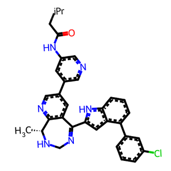 CC(C)CC(=O)Nc1cncc(-c2cnc3c(c2)C(c2cc4c(-c5cccc(Cl)c5)cccc4[nH]2)=NCN[C@@H]3C)c1